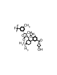 COc1ccc(C(=O)N2CC(O)C2)cc1C1=C(CN2C(=O)O[C@H](c3cc(C)cc(C(F)(F)F)c3)[C@@H]2C)CC(C)(C)CC1